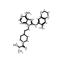 C[C@H](O)C(=O)N1CCC(CCn2c(Sc3cc4c(cc3[124I])OCCO4)nc3c(N)ncnc32)CC1